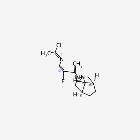 C=C(/C(F)=C\N=C(/C)Cl)N1C[C@H]2CC[C@@H](C1)[C@@H]2N